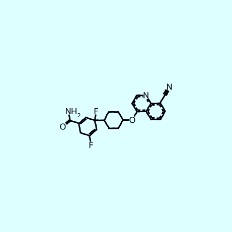 N#Cc1cccc2c(OC3CCC(C4(F)C=C(F)CC(C(N)=O)=C4)CC3)ccnc12